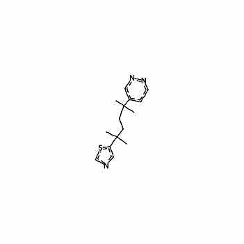 CC(C)(CCC(C)(C)c1cncs1)c1ccnnc1